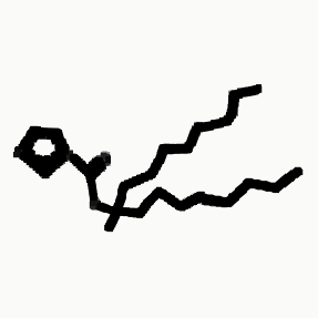 CCCCCCCCC(C)(CCCCCCCC)OC(=O)n1ccnc1